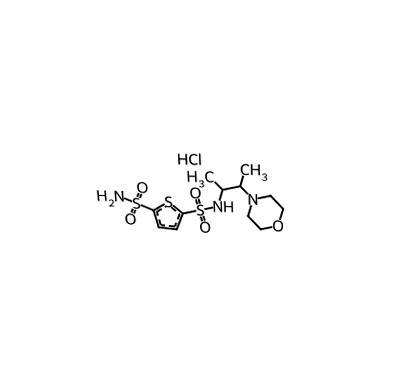 CC(NS(=O)(=O)c1ccc(S(N)(=O)=O)s1)C(C)N1CCOCC1.Cl